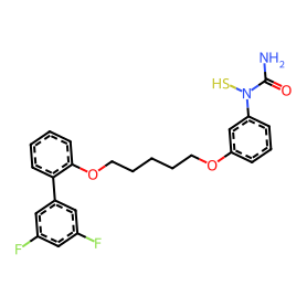 NC(=O)N(S)c1cccc(OCCCCCOc2ccccc2-c2cc(F)cc(F)c2)c1